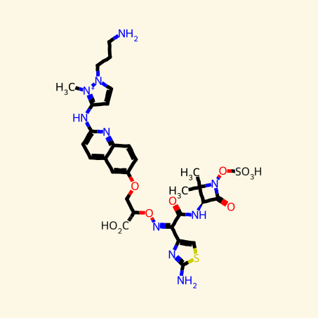 C[n+]1c(Nc2ccc3cc(OCC(O/N=C(\C(=O)N[C@@H]4C(=O)N(OS(=O)(=O)O)C4(C)C)c4csc(N)n4)C(=O)O)ccc3n2)ccn1CCCN